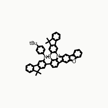 CC(C)(C)c1ccc(N2B3c4cc5c(cc4-n4c6cc7c(cc6c6ccc(c3c64)-c3cc4c(cc32)-c2ccccc2C4(C)C)oc2ccccc27)-c2ccccc2C5(C)C)cc1